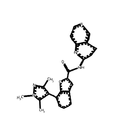 Cc1nn(C)c(C)c1-c1cccc2cc(C(=O)Nc3ccc4cnccc4n3)oc12